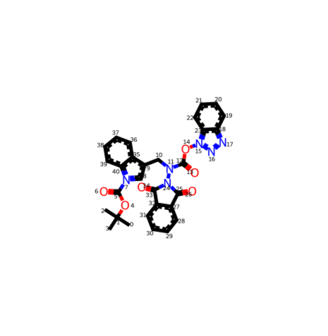 CC(C)(C)OC(=O)n1cc(CN(C(=O)On2nnc3ccccc32)N2C(=O)c3ccccc3C2=O)c2ccccc21